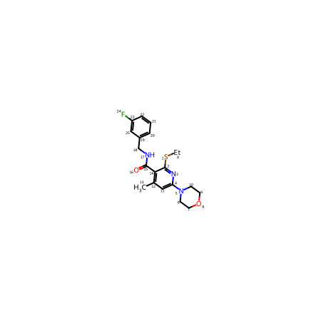 CCSc1nc(N2CCOCC2)cc(C)c1C(=O)NCc1cccc(F)c1